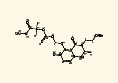 COCCN1C(=O)c2c(OCOC(=O)OC(C)(C)C(=O)OC(C)(C)C)c(=O)ccn2N[C@@H]1C